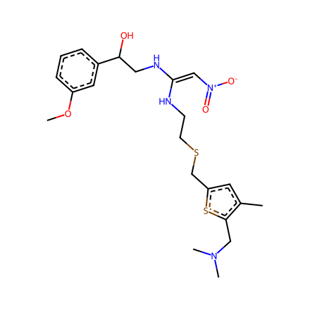 COc1cccc(C(O)CNC(=C[N+](=O)[O-])NCCSCc2cc(C)c(CN(C)C)s2)c1